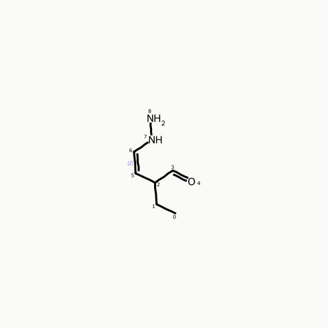 CCC(C=O)/C=C\NN